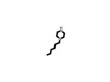 [CH2]CCC=CCN1CCNCC1